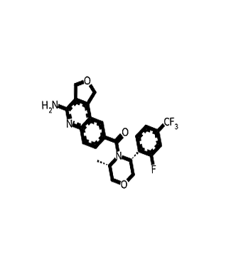 C[C@H]1COC[C@@H](c2ccc(C(F)(F)F)cc2F)N1C(=O)c1ccc2nc(N)c3c(c2c1)COC3